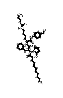 C=CCOC(=O)NCCCC[C@H](NC(=O)[C@H](Cc1ccccc1)N(C(=O)CCCCCCCCCC)N1C(=O)C=CC1=O)C(=O)Nc1ccc(CO)cc1